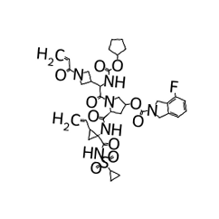 C=CC(=O)N1CC(C(NC(=O)OC2CCCC2)C(=O)N2CC(OC(=O)N3Cc4cccc(F)c4C3)C[C@H]2C(=O)N[C@]2(C(=O)NS(=O)(=O)C3CC3)CC2C=C)C1